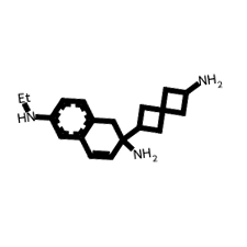 CCNc1ccc2c(c1)C=CC(N)(C1CC3(CC(N)C3)C1)C2